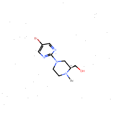 CC(=O)N1CCN(c2ncc(Br)cn2)C[C@H]1CO